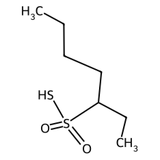 CCCCC(CC)S(=O)(=O)S